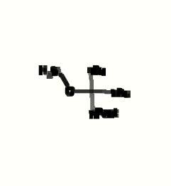 CCCCCC(CCCC)(CCCC)O[SiH3]